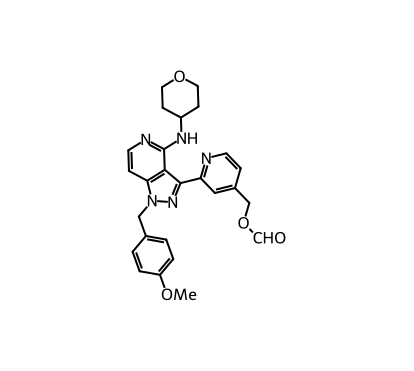 COc1ccc(Cn2nc(-c3cc(COC=O)ccn3)c3c(NC4CCOCC4)nccc32)cc1